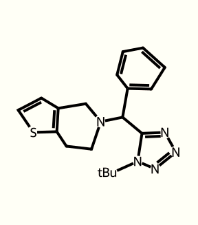 CC(C)(C)n1nnnc1C(c1ccccc1)N1CCc2sccc2C1